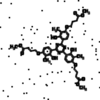 COC(=O)CCCOc1ccc(-c2nc(-c3ccc(OCCCC(=O)OC)c(C)c3O)nc(-c3ccc(OCCCC(=O)OC)c(C)c3O)n2)c(O)c1C